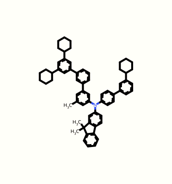 Cc1cc(-c2cccc(-c3cc(C4CCCCC4)cc(C4CCCCC4)c3)c2)cc(N(c2ccc(-c3cccc(C4CCCCC4)c3)cc2)c2ccc3c(c2)C(C)(C)c2ccccc2-3)c1